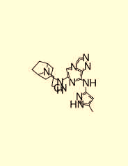 Cc1cc(Nc2nc(NC3CC4CCC(C3)N4CCC#N)cn3cnnc23)n[nH]1